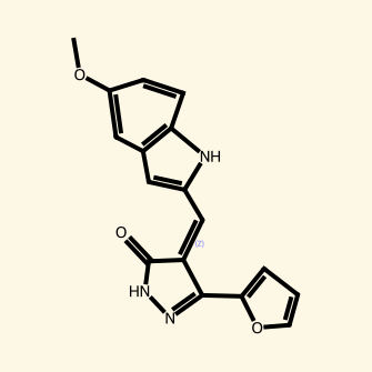 COc1ccc2[nH]c(/C=C3\C(=O)NN=C3c3ccco3)cc2c1